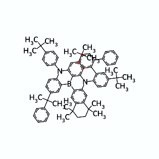 CC(C)(C)c1ccc(N2c3ccc(C(C)(C)c4ccccc4)cc3B3c4cc5c(cc4N(c4ccc(C(C)(C)C)cc4-c4ccccc4-c4ccccc4)c4cc(C(C)(C)C)cc2c43)C(C)(C)CCC5(C)C)cc1